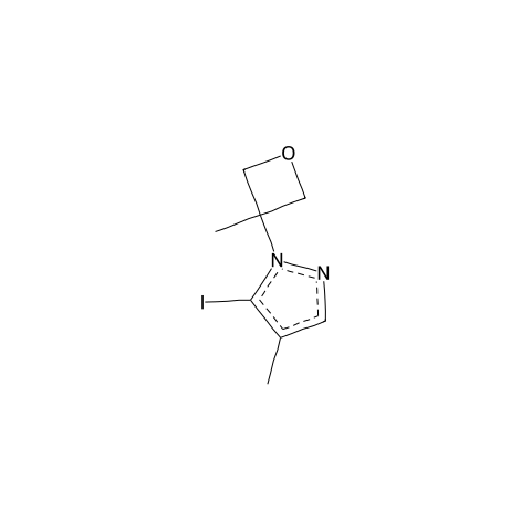 Cc1cnn(C2(C)COC2)c1I